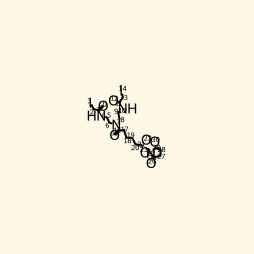 O=C(CI)NCCN(CCNC(=O)CI)C(=O)CCCCC(=O)ON1C(=O)CCC1=O